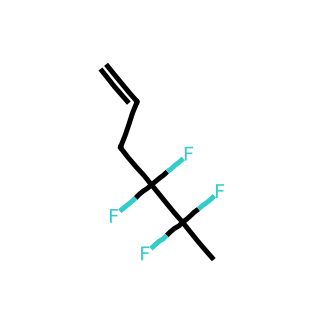 C=CCC(F)(F)C(C)(F)F